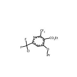 CCOC(=O)c1c(OC(C)C)cc(C(F)(F)Cl)nc1C(F)(F)F